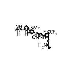 CSc1cc(-n2cc3cc(-c4cc(CCC[C@@H](N)C5CC5)cc(OC(F)(F)F)c4F)[nH]c3nc2=O)cc(F)c1[C@@H]1CCC[C@@H](CCNC(C)=N)N1